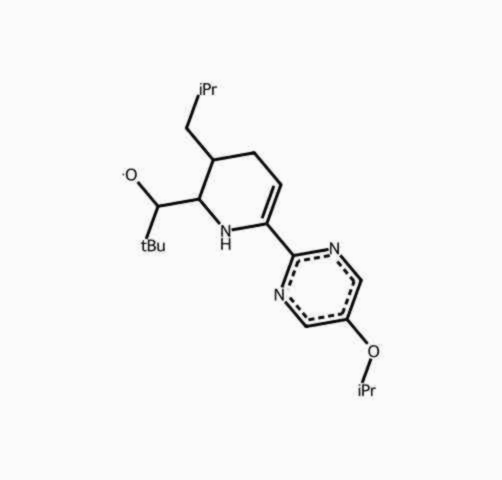 CC(C)CC1CC=C(c2ncc(OC(C)C)cn2)NC1C([O])C(C)(C)C